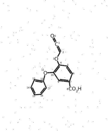 O=C=COc1ccc(C(=O)O)cc1Oc1ccccc1